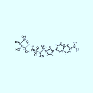 CCN(CC)c1ccc2cc(-c3ccc(/C(C)=C(\C#N)S(=O)(=O)NC[C@H]4OC(O)[C@H](O)[C@@H](O)[C@@H]4O)o3)ccc2c1